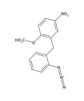 [N-]=[N+]=Nc1ccccc1Cc1cc([N+](=O)[O-])ccc1OC(=O)O